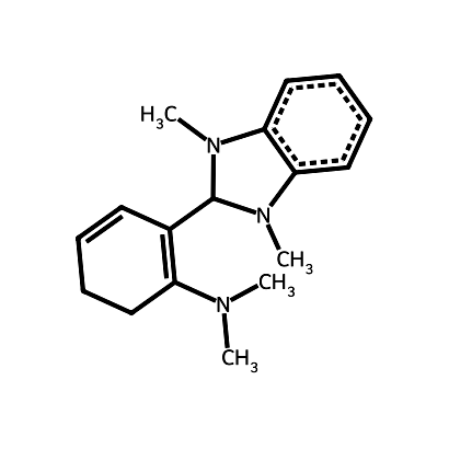 CN(C)C1=C(C2N(C)c3ccccc3N2C)C=CCC1